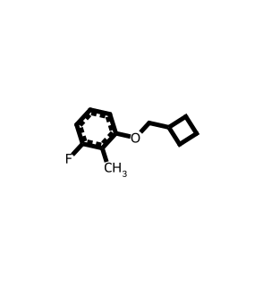 Cc1c(F)cccc1OCC1CCC1